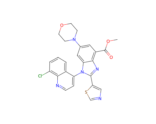 COC(=O)c1cc(N2CCOCC2)cc2c1nc(-c1cncs1)n2-c1ccnc2c(Cl)cccc12